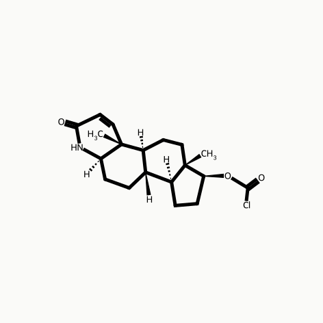 C[C@]12C=CC(=O)N[C@@H]1CC[C@@H]1[C@@H]2CC[C@]2(C)[C@@H](OC(=O)Cl)CC[C@@H]12